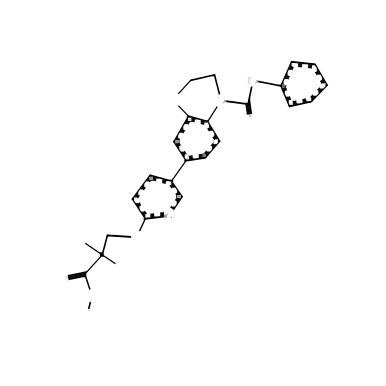 COC(=O)C(C)(C)COc1ccc(-c2ccc3c(c2)OCCN3C(=O)Nc2ccccc2)cn1